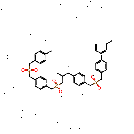 C=C/C(=C\CC)c1ccc(CS(=O)(=O)Cc2ccc([C@@H](C)C(C)CS(=O)(=O)Cc3ccc(CS(=O)(=O)Cc4ccc(C)cc4)cc3)cc2)cc1